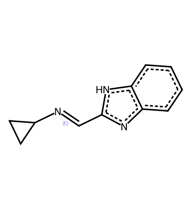 C(=N\C1CC1)/c1nc2ccccc2[nH]1